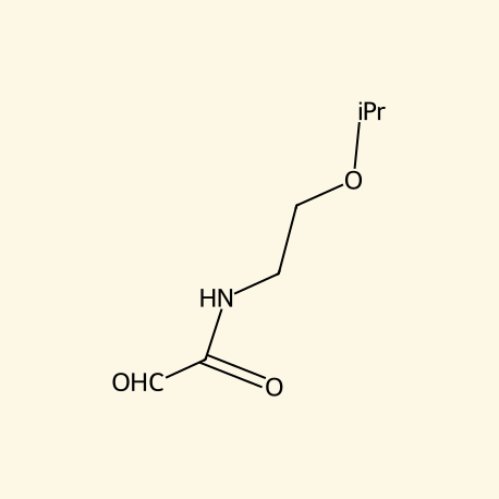 CC(C)OCCNC(=O)C=O